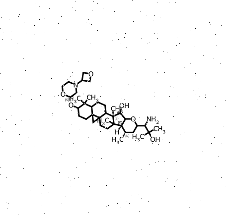 C[C@@H]1CC(C(N)C(C)(C)O)OC2[C@H]1C1(C)CCC34CC35CCC(O[C@H]3CN(C6COC6)CCO3)C(C)(C)C5CCC4[C@]1(C)[C@H]2O